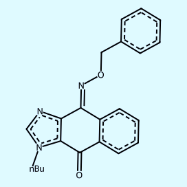 CCCCn1cnc2c1C(=O)c1ccccc1C2=NOCc1ccccc1